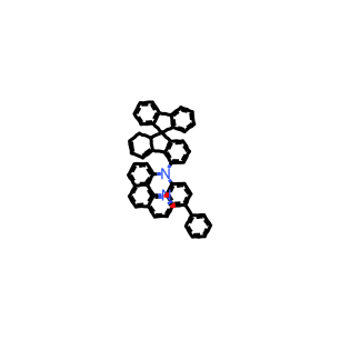 C1=CCC2C(=C1)c1c(N(c3ccc(-c4ccccc4)cc3)c3cccc4ccc5cccnc5c34)cccc1C21c2ccccc2-c2ccccc21